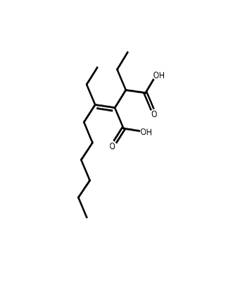 CCCCCCC(CC)=C(C(=O)O)C(CC)C(=O)O